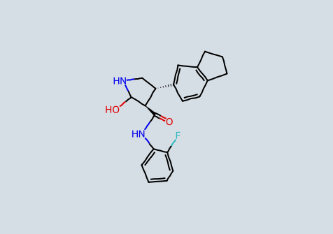 O=C(Nc1ccccc1F)[C@H]1C(O)NC[C@@H]1c1ccc2c(c1)CCC2